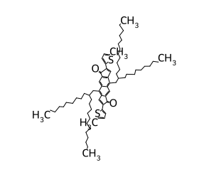 CCCCCCCCCCCCC(CCCCCCCCCC)Cc1c2cc3c(=O)c(-c4ccc(C)s4)cc3c(CC(CCCCCCCCCC)CCCCCCCCCCCC)c2cc2c(=O)c(-c3ccc(C)s3)cc12